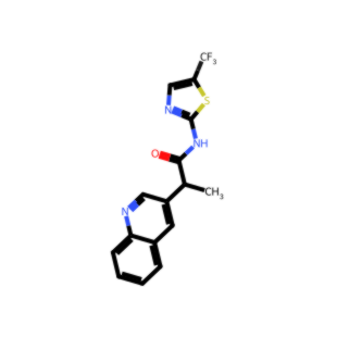 CC(C(=O)Nc1ncc(C(F)(F)F)s1)c1cnc2ccccc2c1